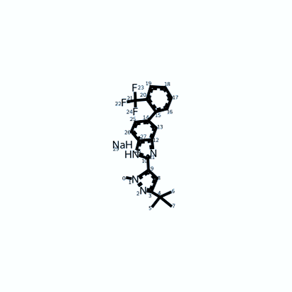 Cn1nc(C(C)(C)C)cc1-c1nc2cc(-c3ccccc3C(F)(F)F)ccc2[nH]1.[NaH]